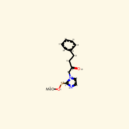 COOSc1nccn1CC(=O)CCc1ccccc1